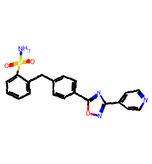 NS(=O)(=O)c1ccccc1Cc1ccc(-c2nc(-c3ccncc3)no2)cc1